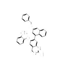 N#Cc1ccccc1Oc1cc2cnc(Cl)nc2cc1-c1cc(OCc2ccccc2)cc2ccccc12